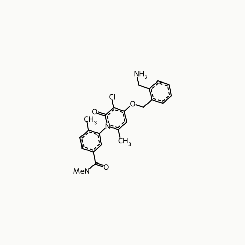 CNC(=O)c1ccc(C)c(-n2c(C)cc(OCc3ccccc3CN)c(Cl)c2=O)c1